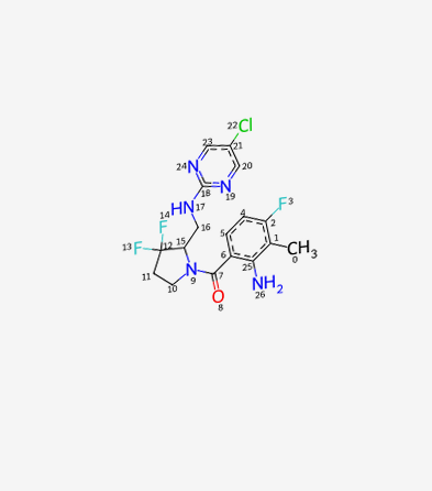 Cc1c(F)ccc(C(=O)N2CCC(F)(F)C2CNc2ncc(Cl)cn2)c1N